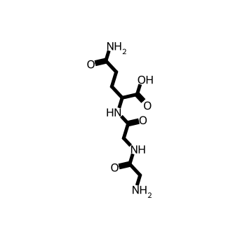 NCC(=O)NCC(=O)NC(CCC(N)=O)C(=O)O